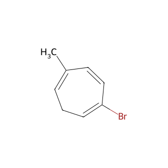 CC1=CCC=C(Br)C=C1